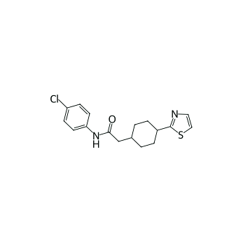 O=C(CC1CCC(c2nccs2)CC1)Nc1ccc(Cl)cc1